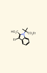 CCOC(=O)C(C)(C)n1c(C(=O)O)c(CC)c2ccccc21